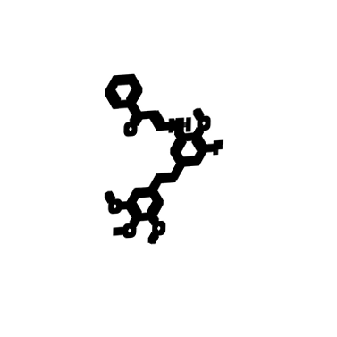 COc1cc(C=Cc2cc(F)c(OC)c(NC=CC(=O)c3ccccc3)c2)cc(OC)c1OC